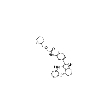 O=C(COCC1CCCCO1)Nc1cc(-c2[nH]c3c(c2Nc2ccccc2)C(=O)CCC3)ccn1